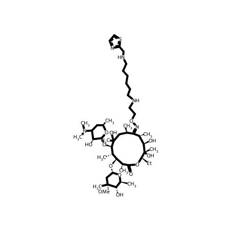 CC[C@H]1OC(=O)[C@H](C)[C@@H](O[C@H]2C[C@@](C)(OC)[C@@H](O)[C@H](C)O2)[C@H](C)[C@@H](O[C@@H]2O[C@H](C)CC(N(C)C)[C@H]2O)C(C)(O)C[C@@H](C)/C(=N\OCCNCCCCCCNCc2nccs2)[C@H](C)[C@@H](O)[C@]1(C)O